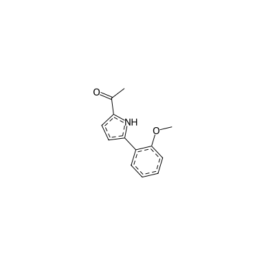 COc1ccccc1-c1ccc(C(C)=O)[nH]1